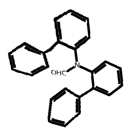 O=CN(c1ccccc1-c1ccccc1)c1ccccc1-c1ccccc1